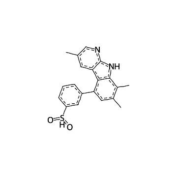 Cc1cnc2[nH]c3c(C)c(C)cc(-c4cccc([SH](=O)=O)c4)c3c2c1